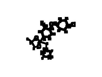 CC1COC(Cn2cncn2)(c2ccc(Oc3ccc(Cl)cc3)c(F)c2)O1